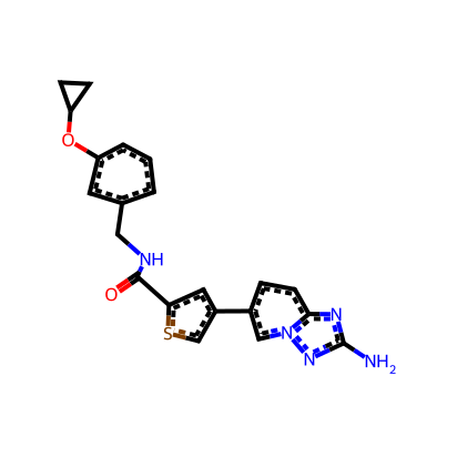 Nc1nc2ccc(-c3csc(C(=O)NCc4cccc(OC5CC5)c4)c3)cn2n1